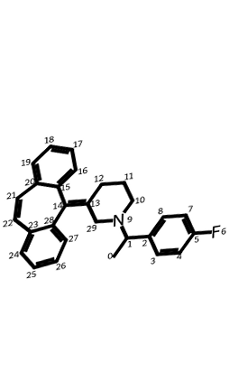 CC(c1ccc(F)cc1)N1CCCC(=C2c3ccccc3C=Cc3ccccc32)C1